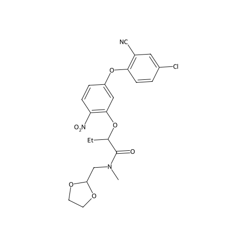 CCC(Oc1cc(Oc2ccc(Cl)cc2C#N)ccc1[N+](=O)[O-])C(=O)N(C)CC1OCCO1